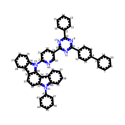 c1ccc(-c2ccc(-c3nc(-c4ccccc4)nc(-c4ccc(-n5c6ccccc6c6ccc7c(c8ccccc8n7-c7ccccc7)c65)nc4)n3)cc2)cc1